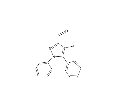 O=Cc1nn(-c2ccccc2)c(-c2ccccc2)c1F